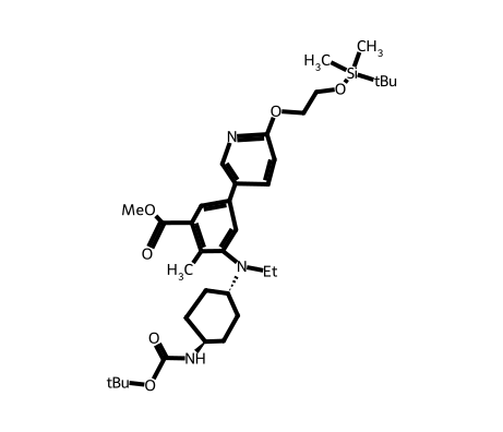 CCN(c1cc(-c2ccc(OCCO[Si](C)(C)C(C)(C)C)nc2)cc(C(=O)OC)c1C)[C@H]1CC[C@H](NC(=O)OC(C)(C)C)CC1